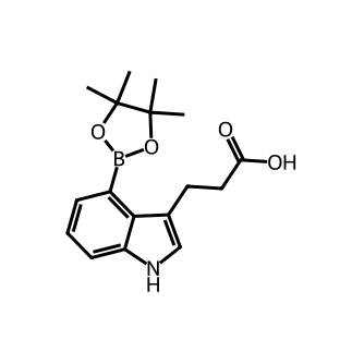 CC1(C)OB(c2cccc3[nH]cc(CCC(=O)O)c23)OC1(C)C